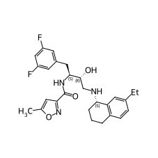 CCc1ccc2c(c1)[C@@H](NC[C@@H](O)[C@H](Cc1cc(F)cc(F)c1)NC(=O)c1cc(C)on1)CCC2